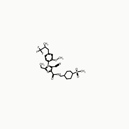 CCc1nc(C(=O)NCC2CCC(S(C)(=O)=O)CC2)c(C#N)n1-c1ccc(CC(C)C(F)(F)F)cc1OC